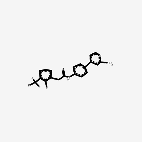 Cc1cc(-c2ccc(NC(=O)Cc3cccc(C(F)(F)F)c3F)cc2)ccn1